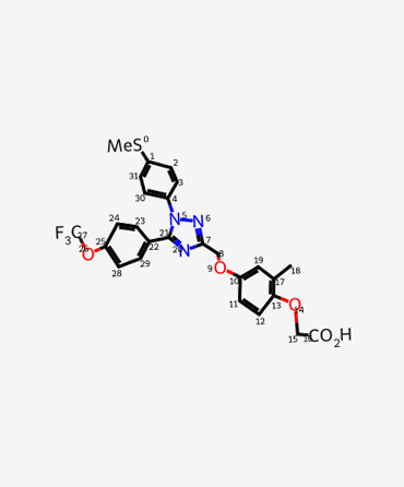 CSc1ccc(-n2nc(COc3ccc(OCC(=O)O)c(C)c3)nc2-c2ccc(OC(F)(F)F)cc2)cc1